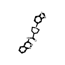 O=C(Nc1cc2ccccc2nn1)C1CCN(c2ccc3scnc3c2)CC1